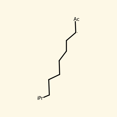 CC(=O)[CH]CCCCCCC(C)C